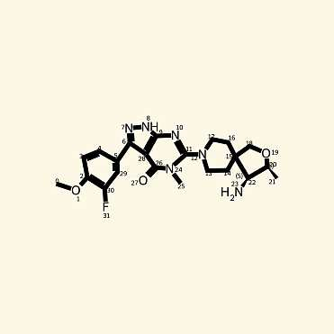 COc1ccc(-c2n[nH]c3nc(N4CCC5(CC4)CO[C@@H](C)[C@H]5N)n(C)c(=O)c23)cc1F